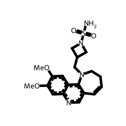 COc1cc2ncc3c(c2cc1OC)N(CC1CN(S(N)(=O)=O)C1)CCC=C3